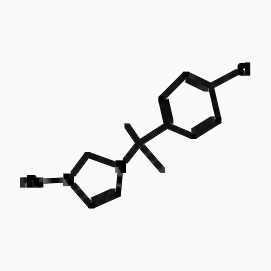 [CH2]CCCN1C=CN(C(C)(C)c2ccc(Cl)cc2)C1